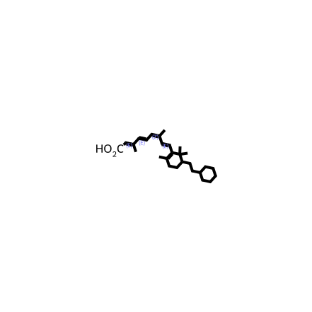 CC1=C(/C=C/C(C)=C\C=C\C(C)=C\C(=O)O)C(C)(C)C(CCC2CCCCC2)CC1